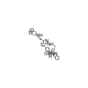 COc1cc(-c2csc3c(C#CCNC4CCC5(CC4)OCCO5)cnc(N)c23)ccc1NC(=O)c1cc2ccccc2n1C